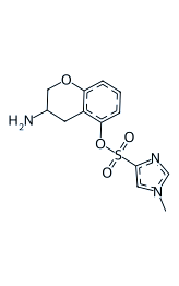 Cn1cnc(S(=O)(=O)Oc2cccc3c2CC(N)CO3)c1